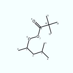 C[C](CC(C)C)OOC(=O)C(C)(C)C